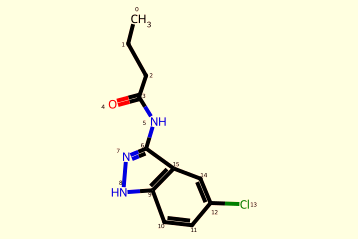 CCCC(=O)Nc1n[nH]c2ccc(Cl)cc12